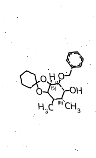 CC1C2OC3(CCCCC3)O[C@@H]2[C@@H](OCc2ccccc2)C(O)[C@@H]1C